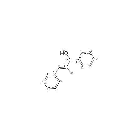 C/C(=C\c1ccccc1)C(O)c1ccccc1